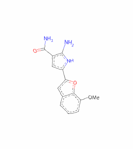 COc1cccc2cc(-c3cc(C(N)=O)c(N)[nH]3)oc12